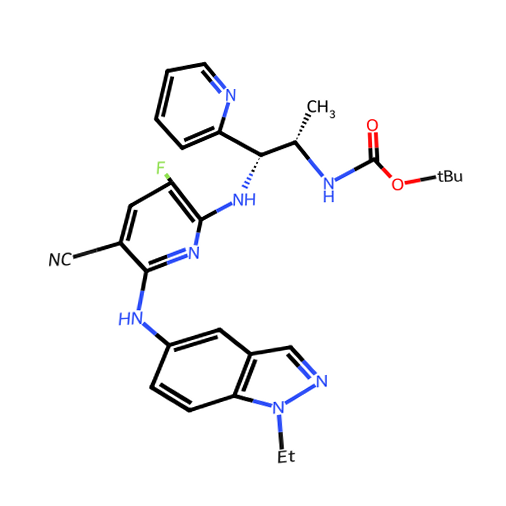 CCn1ncc2cc(Nc3nc(N[C@H](c4ccccn4)[C@H](C)NC(=O)OC(C)(C)C)c(F)cc3C#N)ccc21